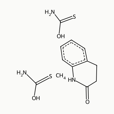 C.NC(O)=S.NC(O)=S.O=C1CCc2ccccc2N1